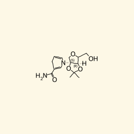 CC1(C)O[C@@H]2C(CO)OC[C@]2(N2C=CCC(C(N)=O)=C2)O1